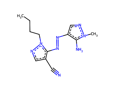 CCCCn1ncc(C#N)c1N=Nc1cnn(C)c1N